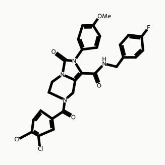 COc1ccc(-n2c(C(=O)NCc3ccc(F)cc3)c3n(c2=O)CCN(C(=O)c2ccc(Cl)c(Cl)c2)C3)cc1